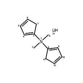 C[Si](C)(C1=CC=CC1)C1=CC=CC1.[LiH]